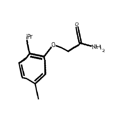 Cc1ccc(C(C)C)c(OCC(N)=O)c1